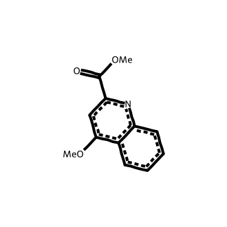 COC(=O)c1cc(OC)c2ccccc2n1